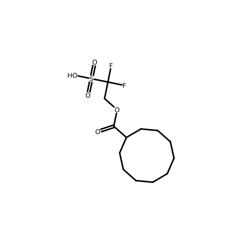 O=C(OCC(F)(F)S(=O)(=O)O)C1CCCCCCCCC1